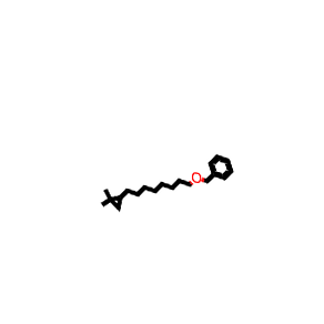 CC1(C)CC1CCCCCCCCOCc1ccccc1